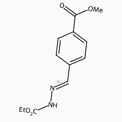 CCOC(=O)N/N=C/c1ccc(C(=O)OC)cc1